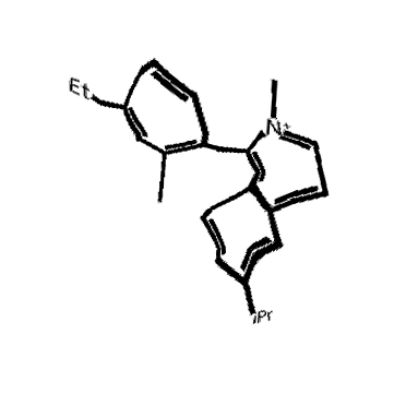 CCc1ccc(-c2c3ccc(C(C)C)cc3cc[n+]2C)c(C)c1